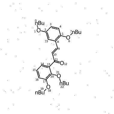 CCCCOc1ccc(OCCCC)c(/C=C/C(=O)c2cccc(OCCCC)c2OCCCC)c1